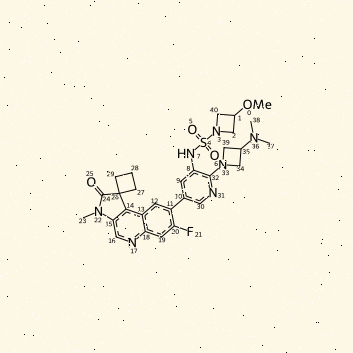 COC1CN(S(=O)(=O)Nc2cc(-c3cc4c5c(cnc4cc3F)N(C)C(=O)C53CCC3)cnc2N2CC(N(C)C)C2)C1